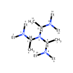 CCN(CC)[SiH](C)N([SiH](C)N(CC)CC)[SiH](C)N(CC)CC